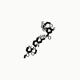 CCOc1ccnc2c1OCCN2c1ccc2cnc(CNC(=O)c3cc(F)c4c(c3)S(=O)(=O)[C@@H](F)CCO4)cc2n1